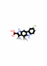 Cc1c(C(=O)O)[nH]c2cc3c([nH]c4ccc(F)cc43)c(C)c12